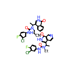 CC(c1c[nH]c(=O)c2ccccc12)N(CCC#N)C(=O)Nc1ccc(F)c(Cl)c1.CCN(C(=O)Nc1ccc(F)c(Cl)c1)C(C)c1c[nH]c(=O)c2cnccc12